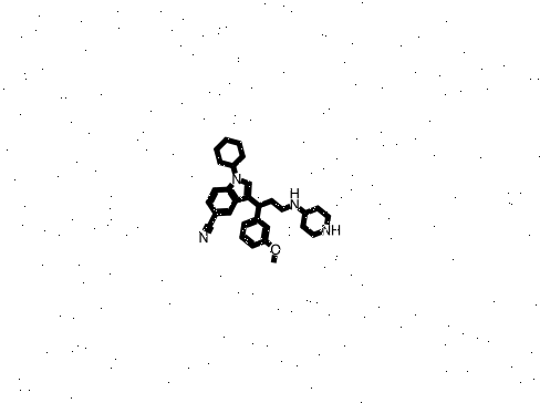 COc1cccc(C(CCNC2CCNCC2)c2cn(C3CCCCC3)c3ccc(C#N)cc23)c1